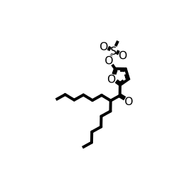 CCCCCCC(CCCCCC)C(=O)c1ccc(OS(C)(=O)=O)o1